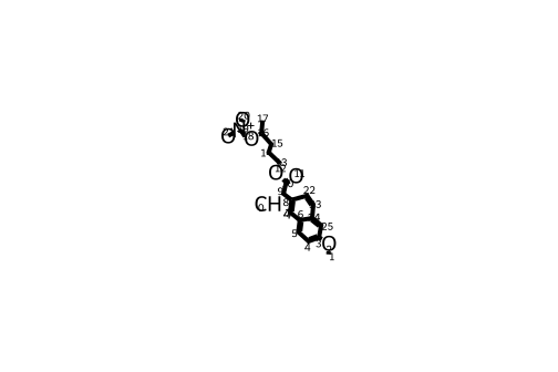 C.COc1ccc2cc(CC(=O)OCCCC(C)O[N+](=O)[O-])ccc2c1